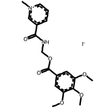 COc1cc(C(=O)OCNC(=O)c2ccc[n+](C)c2)cc(OC)c1OC.[I-]